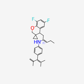 C=C(C)C(=C(C)C)c1ccc(N/C(=C/CC)CC2c3cc(F)cc(F)c3OCC23CC3)cc1